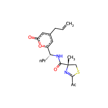 C=CCc1cc([C@@H](CCC)NC(=O)[C@]2(C)CSC(C(C)=O)=N2)oc(=O)c1